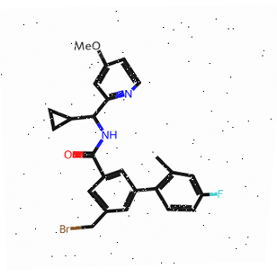 COc1ccnc(C(NC(=O)c2cc(CBr)cc(-c3ccc(F)cc3C)c2)C2CC2)c1